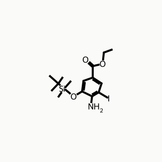 CCOC(=O)c1cc(I)c(N)c(O[Si](C)(C)C(C)(C)C)c1